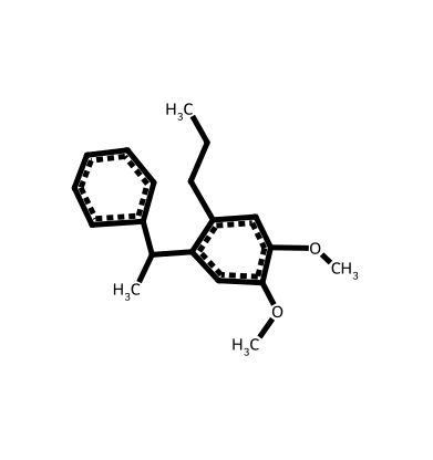 CCCc1cc(OC)c(OC)cc1C(C)c1ccccc1